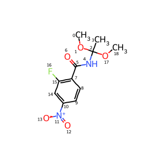 COC(C)(NC(=O)c1ccc([N+](=O)[O-])cc1F)OC